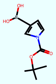 CC(C)(C)OC(=O)n1ccc(B(O)O)c1